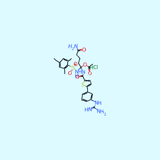 CC(=O)OC(CCCC(N)=O)(NC(=O)c1ccc(-c2cccc(NC(=N)N)c2)s1)NS(=O)(=O)c1c(C)cc(C)cc1C.Cl